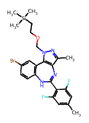 Cc1cc(F)c(C2=Nc3c(C)nn(COCC[Si](C)(C)C)c3-c3cc(Br)ccc3N2)c(F)c1